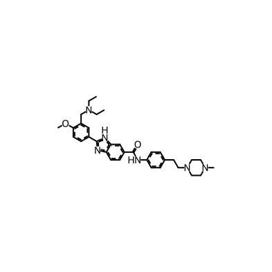 CCN(CC)Cc1cc(-c2nc3ccc(C(=O)Nc4ccc(CCN5CCN(C)CC5)cc4)cc3[nH]2)ccc1OC